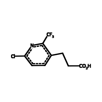 O=C(O)CCc1ccc(Cl)nc1C(F)(F)F